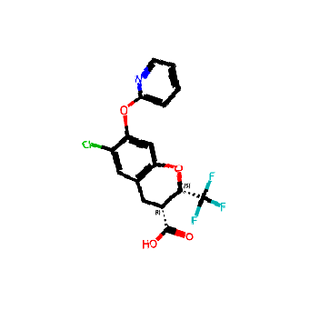 O=C(O)[C@@H]1Cc2cc(Cl)c(Oc3ccccn3)cc2O[C@@H]1C(F)(F)F